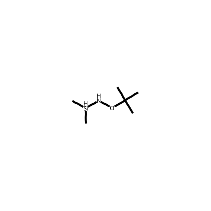 C[SiH](C)NOC(C)(C)C